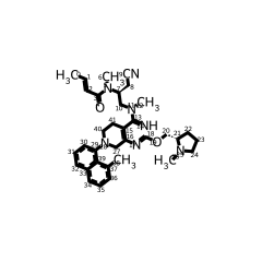 C/C=C/C(=O)N(C)[C@@H](CC#N)CN(C)C(=N)C1=C(/N=C/OC[C@@H]2CCCN2C)CN(c2cccc3cccc(C)c23)CC1